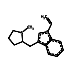 C=Cn1cc(CC2CCCN2C)c2ccccc21